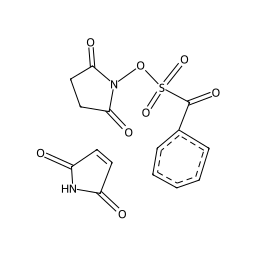 O=C1C=CC(=O)N1.O=C1CCC(=O)N1OS(=O)(=O)C(=O)c1ccccc1